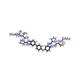 COC(=O)NC(C(=O)N1CCCC1c1nc2cc(Cc3ccc(-c4ccc5nc(C6CCCN6C(=O)C(NC(=O)OC)C(C)C)[nH]c5c4)cc3)ccc2[nH]1)C(C)C